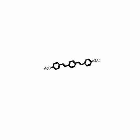 CC(=O)Oc1ccc(C=Cc2ccc(C=Cc3ccc(OC(C)=O)cc3)cc2)cc1